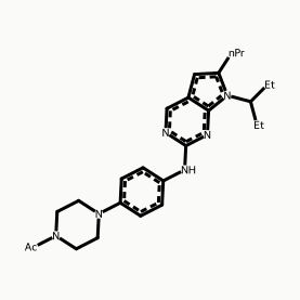 CCCc1cc2cnc(Nc3ccc(N4CCN(C(C)=O)CC4)cc3)nc2n1C(CC)CC